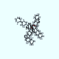 c1ccc(-c2ccc(-c3nc(-c4ccc5sc6ccccc6c5c4)nc(-c4cc5oc6ccc7ccccc7c6c5cc4-n4c5ccccc5c5cc6ccccc6cc54)n3)cc2)cc1